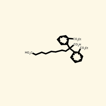 CCOC(=O)c1ccccc1C(CCCCCCCC(=O)O)(C(=O)O)c1ccccc1C(=O)OCC